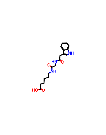 O=C(O)CCCCCNC(=O)CNC(=O)Cc1c[nH]c2ccccc12